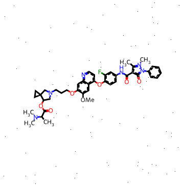 COc1cc2c(Oc3ccc(NC(=O)c4c(C)n(C)n(-c5ccccc5)c4=O)cc3F)ccnc2cc1OCCCN1CC(OC(=O)C(C)N(C)C)C2(CC2)C1